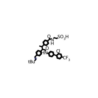 CC(c1ccc(C(=O)NCCS(=O)(=O)O)cc1)C(C(=O)Nc1ccc(-c2ccc(C(F)(F)F)cc2Cl)cc1)c1ccc(/C=C/C(C)(C)C)cc1